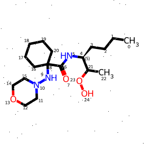 CCCC[C@H](NC(=O)C1(NN2CCOCC2)CCCCC1)C(C)OO